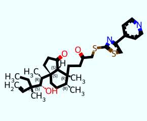 C=C[C@](C)(CC)[C@@H](O)[C@H](C)[C@]12CCC(=O)[C@H]1[C@](C)(CCC(=O)CSc1nc(-c3ccncc3)cs1)[C@H](C)CC2